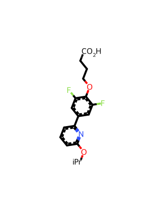 CC(C)Oc1cccc(-c2cc(F)c(OCCCC(=O)O)c(F)c2)n1